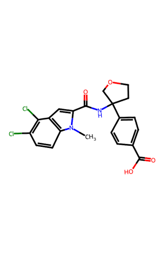 Cn1c(C(=O)NC2(c3ccc(C(=O)O)cc3)CCOC2)cc2c(Cl)c(Cl)ccc21